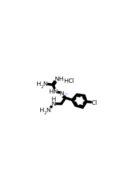 Cl.N=C(N)N/N=C(\CNN)c1ccc(Cl)cc1